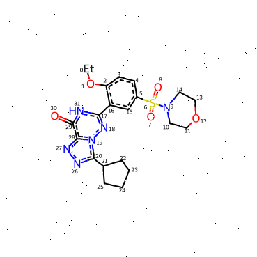 CCOc1ccc(S(=O)(=O)N2CCOCC2)cc1-c1nn2c(C3CCCC3)nnc2c(=O)[nH]1